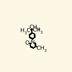 Cc1ccc(=O)n(-c2ccc(C(C)(C)C)cc2)c1